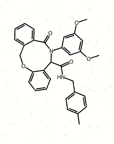 COc1cc(OC)cc(N2C(=O)c3ccccc3COc3ccccc3C2C(=O)NCc2ccc(C)cc2)c1